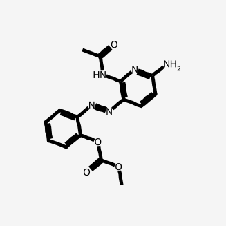 COC(=O)Oc1ccccc1/N=N/c1ccc(N)nc1NC(C)=O